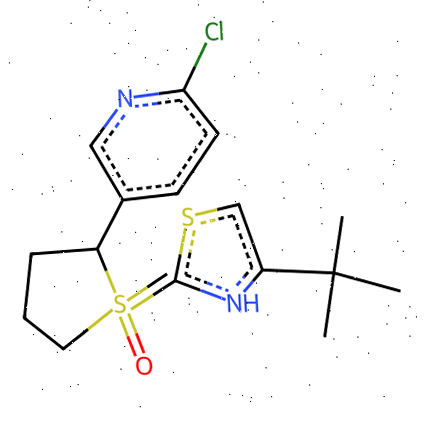 CC(C)(C)c1csc(=S2(=O)CCCC2c2ccc(Cl)nc2)[nH]1